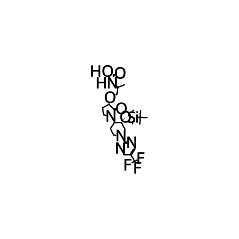 CC(COC1CCN([C@@H]2CCN(c3ncc(C(F)(F)F)cn3)C[C@H]2O[Si](C)(C)C(C)(C)C)C1=O)NC(=O)O